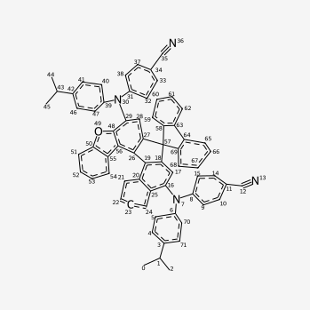 CC(C)c1ccc(N(c2ccc(C#N)cc2)c2cc3c(c4ccccc24)-c2c(cc(N(c4ccc(C#N)cc4)c4ccc(C(C)C)cc4)c4oc5ccccc5c24)C32c3ccccc3-c3ccccc32)cc1